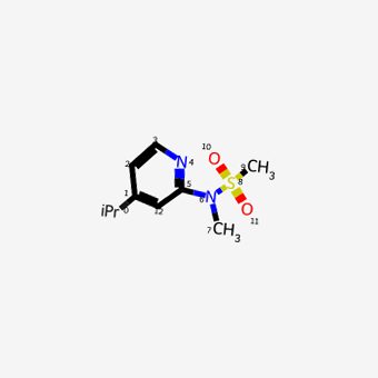 CC(C)c1ccnc(N(C)S(C)(=O)=O)c1